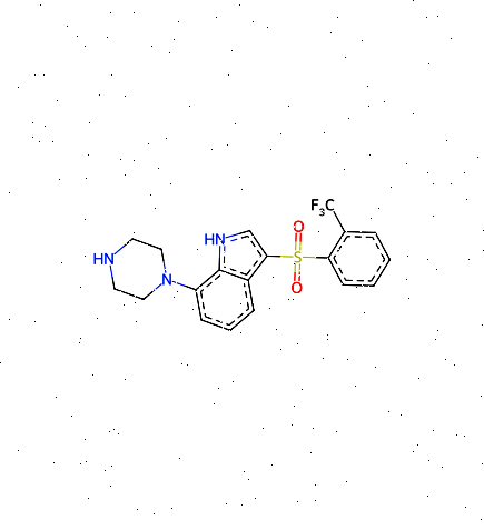 O=S(=O)(c1ccccc1C(F)(F)F)c1c[nH]c2c(N3CCNCC3)cccc12